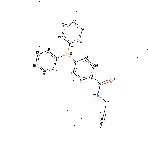 C#CCNC(=O)c1ccc(P(c2ccccc2)c2ccccc2)cc1